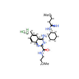 COCCNC(=O)c1nc(N[C@H]2CCCC[C@H]2NC(=N)CCOC)c2cc(C)ccc2n1.Cl.Cl